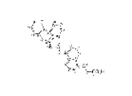 O=C(O)COc1cccc2c1CCC=C2CO/N=C(/Cc1ccccc1)c1cccnc1